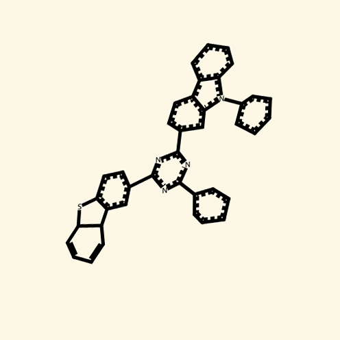 C1=CC2Sc3ccc(-c4nc(-c5ccccc5)nc(-c5ccc6c7ccccc7n(-c7ccccc7)c6c5)n4)cc3C2C=C1